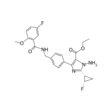 CCOC(=O)c1c(-c2ccc(CNC(=O)c3cc(F)ccc3OC)cc2)nc([C@@H]2C[C@@H]2F)n1N